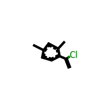 C=C(Cl)c1ccc(C)cc1C